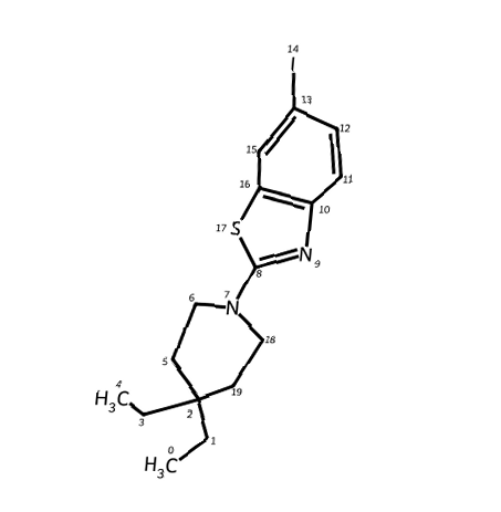 CCC1(CC)CCN(c2nc3ccc(I)cc3s2)CC1